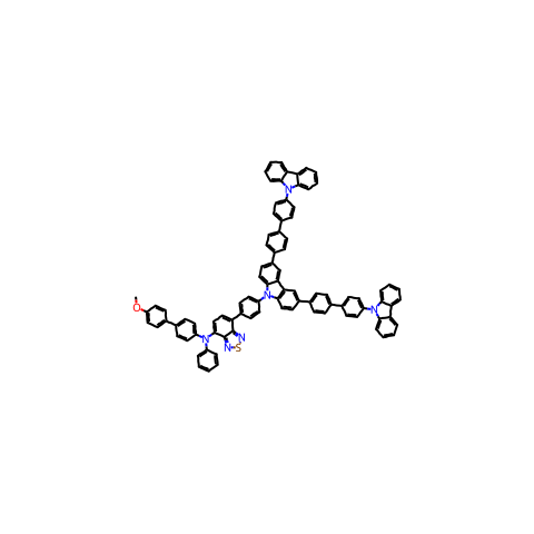 COc1ccc(-c2ccc(N(c3ccccc3)c3ccc(-c4ccc(-n5c6ccc(-c7ccc(-c8ccc(-n9c%10ccccc%10c%10ccccc%109)cc8)cc7)cc6c6cc(-c7ccc(-c8ccc(-n9c%10ccccc%10c%10ccccc%109)cc8)cc7)ccc65)cc4)c4nsnc34)cc2)cc1